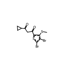 CSc1c(C(=O)CC(=O)C2CC2)sc(Br)c1Br